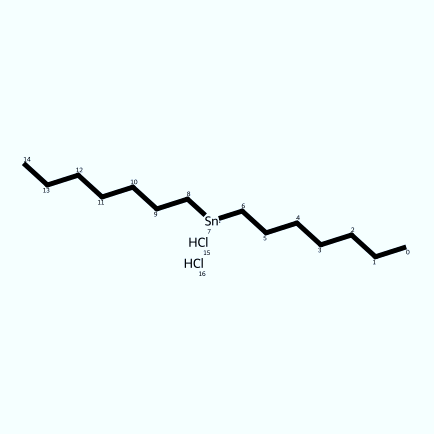 CCCCCC[CH2][Sn][CH2]CCCCCC.Cl.Cl